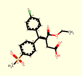 CCOC(=O)C(CC(=O)O)=C(c1ccc(Br)cc1)c1ccc(S(C)(=O)=O)cc1